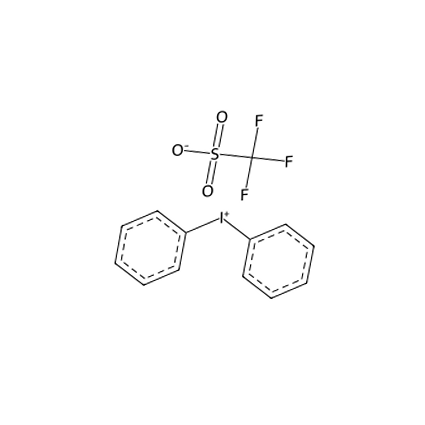 O=S(=O)([O-])C(F)(F)F.c1ccc([I+]c2ccccc2)cc1